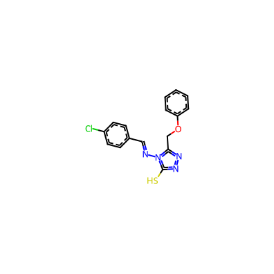 Sc1nnc(COc2ccccc2)n1N=Cc1ccc(Cl)cc1